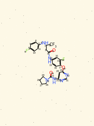 O=C(CC(Nc1ccc(F)cc1)C(F)(F)F)Nc1ccc(Oc2cc(NC(=O)N3CCCC3)ncn2)c(F)c1